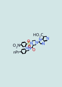 CCCc1ccc(CNC(=O)C2CN(c3cnc4cncc(C(=O)O)c4n3)CCN2S(=O)(=O)c2ccc([N+](=O)[O-])cc2)cc1